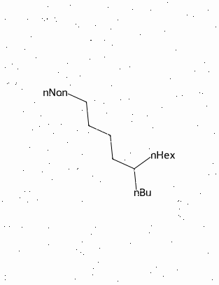 [CH2]CCCC(CCCCCC)CCCCCCCCCCCCC